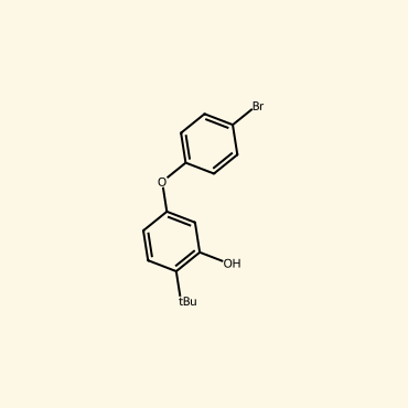 CC(C)(C)c1ccc(Oc2ccc(Br)cc2)cc1O